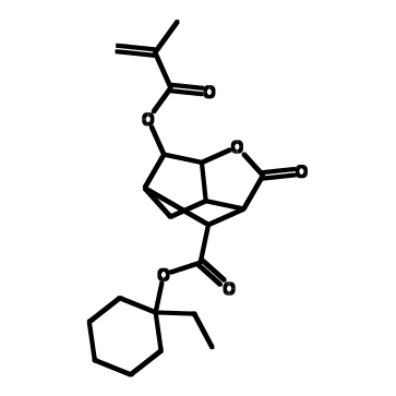 C=C(C)C(=O)OC1C2CC3C1OC(=O)C3C2C(=O)OC1(CC)CCCCC1